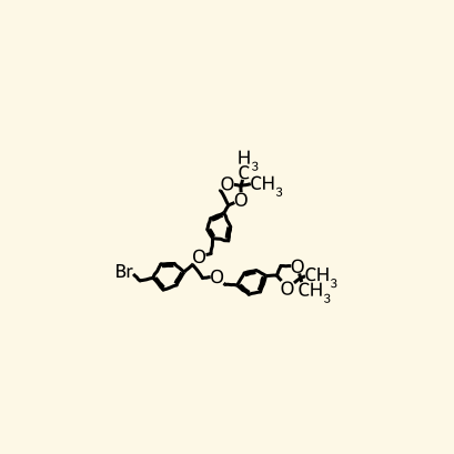 CC1(C)OCC(c2ccc(COCC(OCc3ccc(C4COC(C)(C)O4)cc3)c3ccc(CBr)cc3)cc2)O1